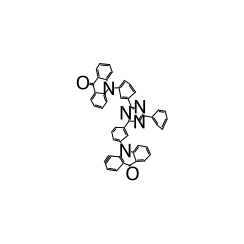 O=c1c2ccc#cc2n(-c2cccc(-c3nc(-c4ccccc4)nc(-c4cccc(-n5c6ccccc6c(=O)c6ccccc65)c4)n3)c2)c2ccccc12